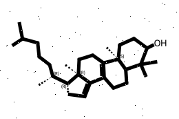 CC(C)CCC[C@@H](C)[C@H]1CC=C2C3=C(CC[C@@]21C)[C@@]1(C)CCC(O)C(C)(C)C1CC3